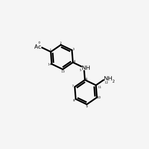 CC(=O)c1ccc(Nc2ccccc2N)cc1